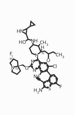 CCC1C[C@H]2C(C)C(NC(O)C3NC3C3CC3)CCN2c2nc(OC[C@@]34CCCN3C[C@H](F)C4)nc3c(F)c(-c4ccc(F)c5sc(N)c(C#N)c45)c(Cl)c(c23)O1